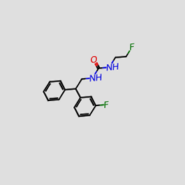 O=C(NCCF)NCC(c1ccccc1)c1cccc(F)c1